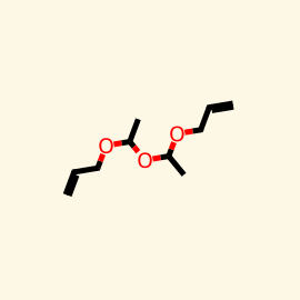 C=CCOC(C)OC(C)OCC=C